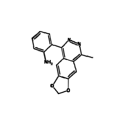 Cc1nnc(-c2ccccc2N)c2cc3c(cc12)OCO3